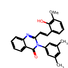 COc1cccc(C=Cc2nc3ccccc3c(=O)n2-c2cc(C)cc(C)c2)c1O